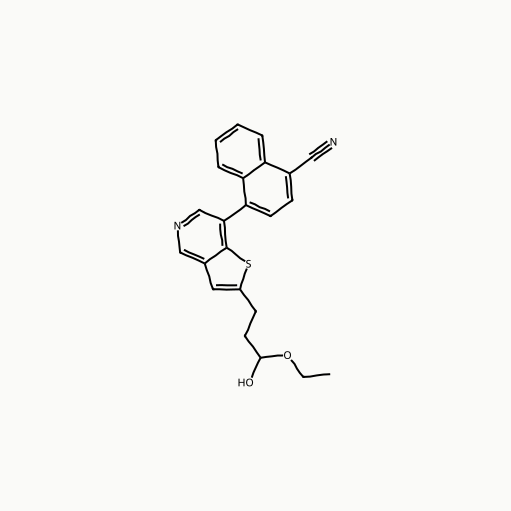 CCOC(O)CCc1cc2cncc(-c3ccc(C#N)c4ccccc34)c2s1